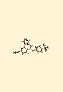 N#Cc1ccc(C(Cc2ccc(C(F)(F)F)cn2)Cn2cncn2)cc1